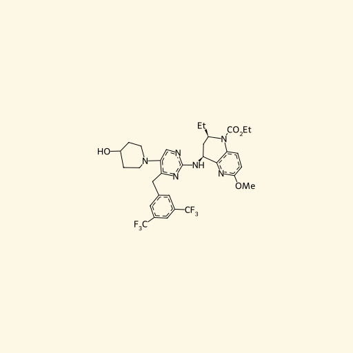 CCOC(=O)N1c2ccc(OC)nc2[C@@H](Nc2ncc(N3CCC(O)CC3)c(Cc3cc(C(F)(F)F)cc(C(F)(F)F)c3)n2)C[C@H]1CC